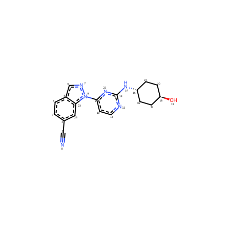 N#Cc1ccc2cnn(-c3ccnc(N[C@H]4CC[C@H](O)CC4)n3)c2c1